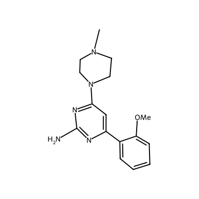 COc1ccccc1-c1cc(N2CCN(C)CC2)nc(N)n1